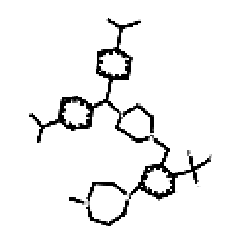 CC(C)c1ccc(C(c2ccc(C(C)C)cc2)N2CCN(Cc3cc(N4CCCN(C)CC4)ccc3C(F)(F)F)CC2)cc1